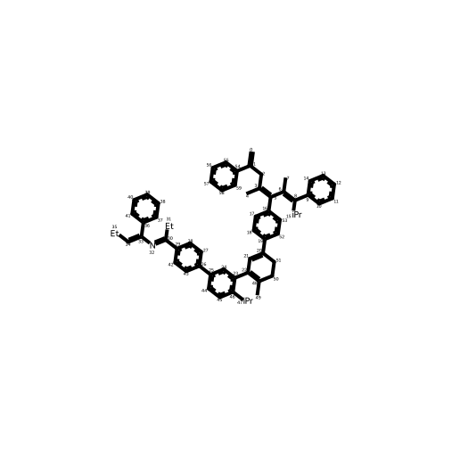 C=C(C/C(C)=C(\C(C)=C(\c1ccccc1)C(C)C)c1ccc(C2=CC(c3cc(-c4ccc(/C(CC)=N/C(=C/CC)c5ccccc5)cc4)ccc3C(C)C)=C(C)CC2)cc1)c1ccccc1